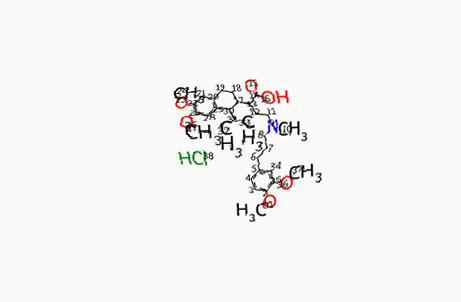 COc1ccc(CCCN(C)CCC(C(=O)O)[C@@H]2CCc3cc(OC)c(OC)cc3[C@@H]2C(C)C)cc1OC.Cl